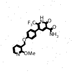 COc1ncccc1COc1ccc(-c2cc(C(N)=O)c(=O)[nH]c2C(F)(F)F)cc1